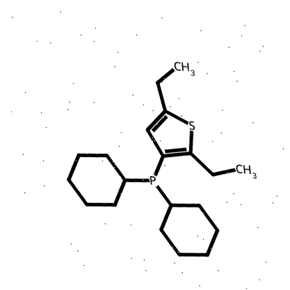 CCc1cc(P(C2CCCCC2)C2CCCCC2)c(CC)s1